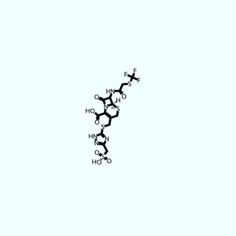 O=C(CSC(F)(F)F)NC1C(=O)N2C(C(=O)O)=C(CSc3nc(CS(=O)(=O)O)n[nH]3)CS[C@H]12